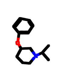 CC(C)N1CCCC(Oc2ccccc2)C1